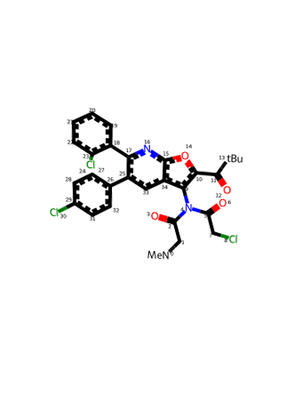 CNCC(=O)N(C(=O)CCl)c1c(C(=O)C(C)(C)C)oc2nc(-c3ccccc3Cl)c(-c3ccc(Cl)cc3)cc12